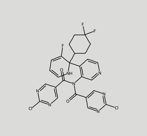 O=C(c1cnc(Cl)nc1)N(C(=O)c1cnc(Cl)nc1)c1cnccc1C1(C2CCC(F)(F)CC2)NC=CC=C1F